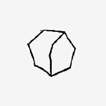 [CH]1CCC2CCC1CC2